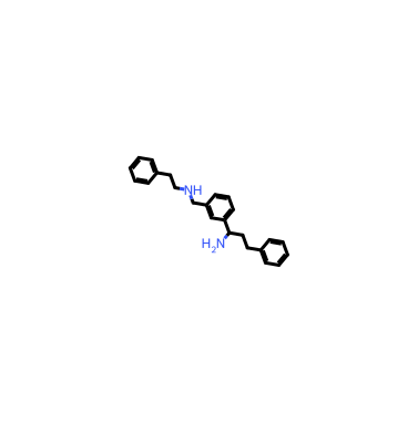 NC(CCc1ccccc1)c1cccc(CNCCc2ccccc2)c1